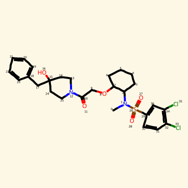 CN(C1CCCCC1OCC(=O)N1CCC(O)(Cc2ccccc2)CC1)S(=O)(=O)c1ccc(Cl)c(Cl)c1